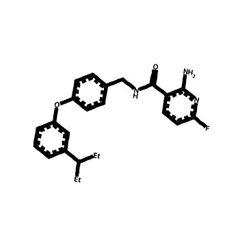 CCC(CC)c1cccc(Oc2ccc(CNC(=O)c3ccc(F)nc3N)cc2)c1